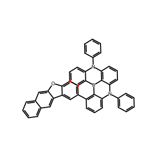 c1ccc(N2c3ccccc3B3c4c(-c5ccc6oc7cc8ccccc8cc7c6c5)cccc4N(c4ccccc4)c4cccc2c43)cc1